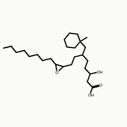 CCCCCCCCC1OC1CCC(CCC(O)CC(=O)O)CC1(C)CCCCC1